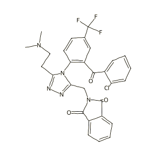 CN(C)CCc1nnc(CN2C(=O)c3ccccc3C2=O)n1-c1ccc(C(F)(F)F)cc1C(=O)c1ccccc1Cl